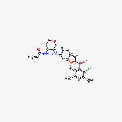 C=CC(=O)NC1CCOCC1Nc1cc2oc(C(=O)c3c(F)c(OC)cc(OC)c3F)cc2cn1